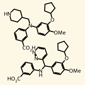 COc1ccc(C(Nc2cccc(C(=O)O)c2)c2cccnn2)cc1OC1CCCC1.COc1ccc(N(CC2CCNCC2)c2cccc(C(=O)O)c2)cc1OC1CCCC1